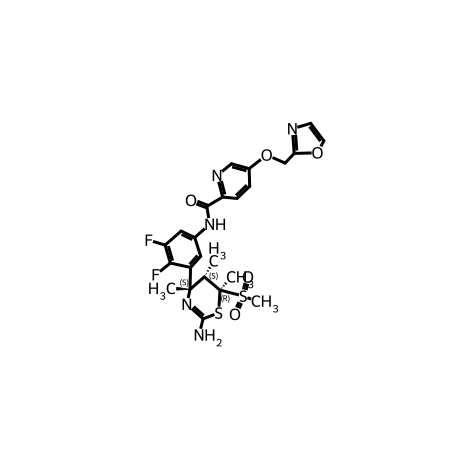 C[C@@H]1[C@@](C)(S(C)(=O)=O)SC(N)=N[C@]1(C)c1cc(NC(=O)c2ccc(OCc3ncco3)cn2)cc(F)c1F